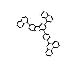 c1ccc2c(-c3ccc4sc5c(-c6ccc(-c7cc8ccccc8c8ccccc78)cc6)cc(-c6cccc7ccccc67)cc5c4c3)cccc2c1